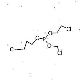 ClCCCOP(OCCl)OCCCl